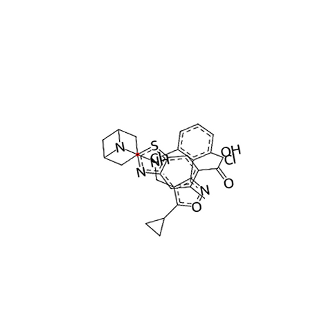 Cc1cc2nc(N3C4CC(NCc5c(-c6c(Cl)cccc6Cl)noc5C5CC5)CC3C4)sc2cc1C(=O)O